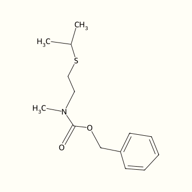 CC(C)SCCN(C)C(=O)OCc1ccccc1